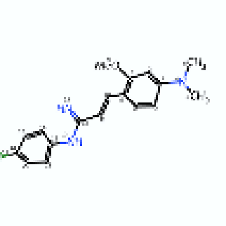 COc1cc(N(C)C)ccc1/C=C/C(=N)Nc1ccc(Cl)cc1